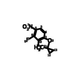 CC1(Oc2ccc([N+](=O)[O-])c(F)c2Cl)CC1